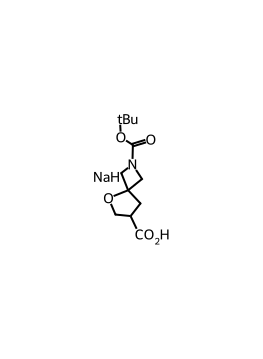 CC(C)(C)OC(=O)N1CC2(CC(C(=O)O)CO2)C1.[NaH]